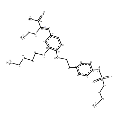 CCCCS(=O)(=O)Nc1ccc(CCOc2ccc(/C=C(\OCC)C(=O)O)cc2OCCOCC)cc1